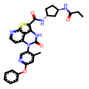 CCC(=O)N[C@@H]1CC[C@@H](NC(=O)c2sc3nccc4c3c2NC(=O)N4c2cnc(Oc3ccccc3)cc2C)C1